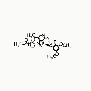 C=CC(=O)N1CCC(n2nc(C#Cc3cc(OC)cc(OC)c3F)c3c(N)ncc(C(C)=O)c32)C1